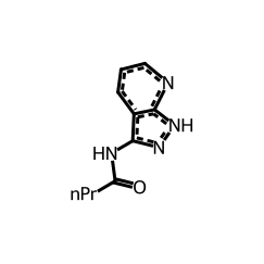 CCCC(=O)Nc1n[nH]c2ncccc12